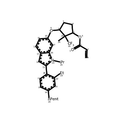 C=CC(=O)OC1CCC(Oc2ccc3cc(-c4ccc(CCCCC)cc4CC)n(C(C)C)c3c2)C1(C)C(F)(F)F